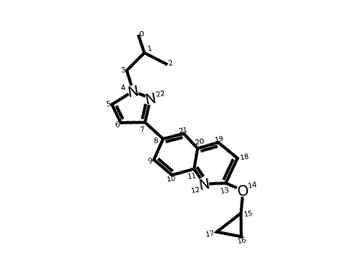 CC(C)Cn1ccc(-c2ccc3nc(OC4CC4)ccc3c2)n1